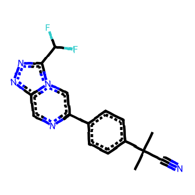 CC(C)(C#N)c1ccc(-c2cn3c(C(F)F)nnc3cn2)cc1